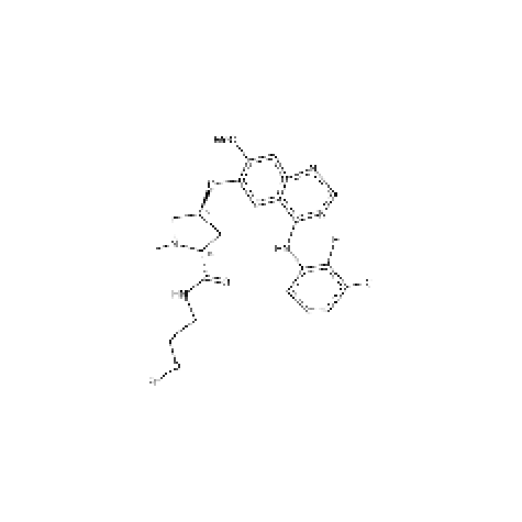 CCOCCNC(=O)[C@H]1C[C@H](Oc2cc3c(Nc4cccc(Cl)c4F)ncnc3cc2OC)CN1C